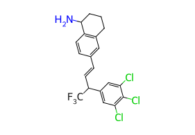 NC1CCCc2cc(C=CC(c3cc(Cl)c(Cl)c(Cl)c3)C(F)(F)F)ccc21